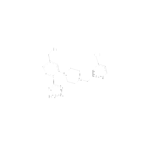 Cc1ccnc(CN2CCN(c3cc(CC(C)C)cc(F)c3-c3nn[nH]n3)CC2)c1